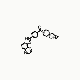 O=C(c1ccc(NSc2cccc3nccnc23)cc1)N1CCC(O)(CC2CC2)CC1